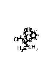 C=CCn1c(CCl)nc(C(C)C)c1Sc1cccc(Cl)c1